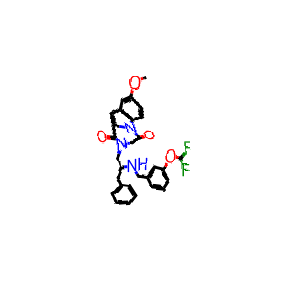 COc1ccc2c(c1)cc1n2C(=O)CN(C[C@H](Cc2ccccc2)NCc2cccc(OC(F)F)c2)C1=O